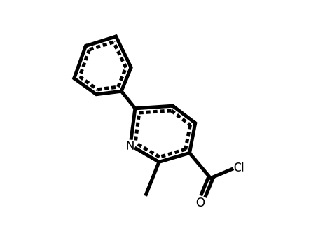 Cc1nc(-c2ccccc2)ccc1C(=O)Cl